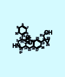 C[C@@H]1NC[C@@H](c2ccccc2)S(=O)(=O)C1Cc1ccc(C2(CO)CC2)cc1F